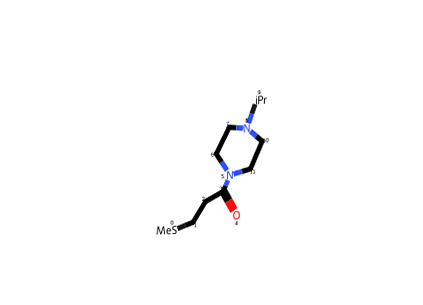 CSCCC(=O)N1CCN(C(C)C)CC1